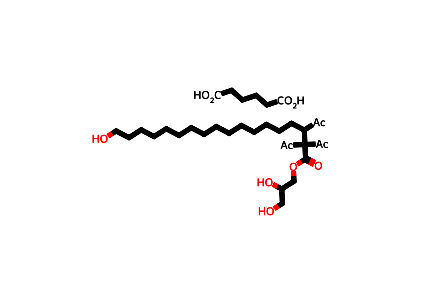 CC(=O)C(CCCCCCCCCCCCCCCO)C(C(C)=O)(C(C)=O)C(=O)OCC(O)CO.O=C(O)CCCCC(=O)O